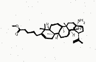 C=C(C)[C@@H]1CC[C@]2(N)CC[C@]3(C)[C@H](CC[C@@H]4[C@@]5(C)CC=C(CCCCC(=O)OC)C(C)(C)[C@@H]5CC[C@]43C)[C@@H]12